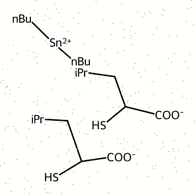 CC(C)CC(S)C(=O)[O-].CC(C)CC(S)C(=O)[O-].CCC[CH2][Sn+2][CH2]CCC